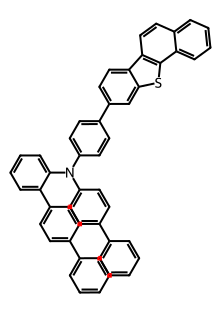 c1ccc(-c2ccc(-c3ccccc3N(c3ccc(-c4ccccc4)cc3)c3ccc(-c4ccc5c(c4)sc4c6ccccc6ccc54)cc3)cc2)cc1